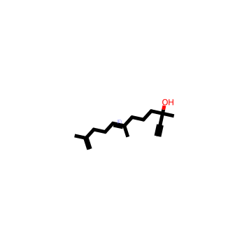 C#CC(C)(O)CCC/C(C)=C/CCC(=C)C